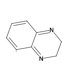 [c]1cccc2c1=NCCN=2